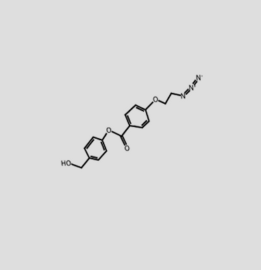 [N-]=[N+]=NCCOc1ccc(C(=O)Oc2ccc(CO)cc2)cc1